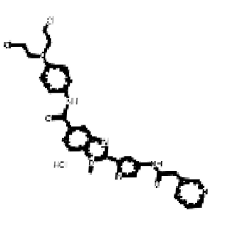 Cl.Cn1c(-c2cc(NC(=O)Cc3cccnc3)c[nH]2)nc2cc(C(=O)Nc3ccc(N(CCCl)CCCl)cc3)ccc21